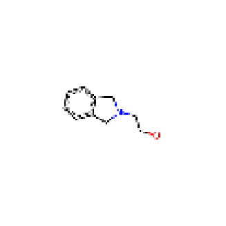 [O]CCN1Cc2ccccc2C1